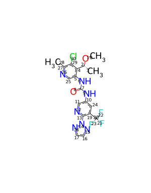 CO[C@H](C)c1c(NC(=O)Nc2cnc(-n3nccn3)c(C(F)(F)F)c2)cnc(C)c1Cl